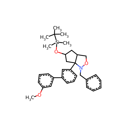 COc1cccc(-c2cccc(C34CC(O[Si](C)(C)C(C)(C)C)CC3CON4Cc3ccccc3)c2)c1